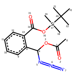 CC(=O)OC(N=[N+]=[N-])c1ccccc1C(=O)O[Si](C)(C)C(C)(C)C